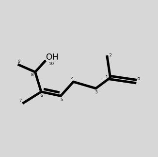 C=C(C)CCC=C(C)C(C)O